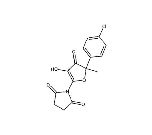 CC1(c2ccc(Cl)cc2)OC(N2C(=O)CCC2=O)=C(O)C1=O